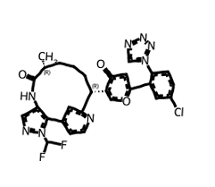 C[C@@H]1CCC[C@H](c2coc(-c3cc(Cl)ccc3-n3cnnn3)cc2=O)c2cc(ccn2)-c2c(cnn2C(F)F)NC1=O